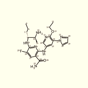 CCC[C@@H](Nc1nc(Nc2cnc(OCC)c(-n3cccn3)c2)c(C(N)=O)cc1F)[C@H](C)N